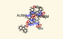 CC(=O)NCSC[C@H](NC(=O)[C@@H](Cc1ccccc1)NC(=O)OCC1c2ccccc2-c2ccccc21)C(=O)N[C@@H](Cc1ccc(OC(C)(C)C)cc1)C(=O)N[C@H](Cc1cn(C(=O)OC(C)(C)C)c2ccccc12)C(=O)N[C@@H](CCCCNC(=O)OC(C)(C)C)C(=O)O